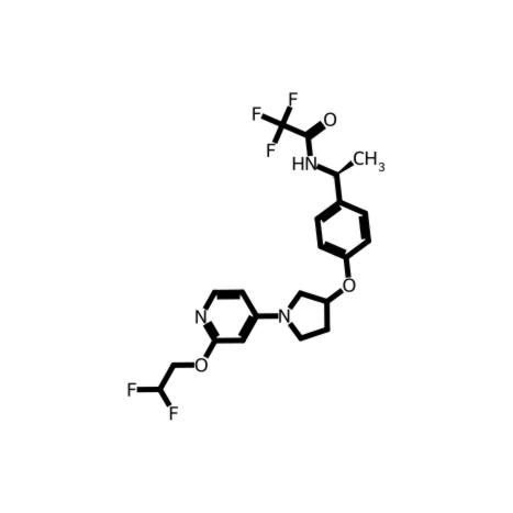 C[C@H](NC(=O)C(F)(F)F)c1ccc(OC2CCN(c3ccnc(OCC(F)F)c3)C2)cc1